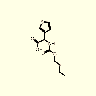 CCCCOC(=O)NC(C(=O)O)c1ccsc1